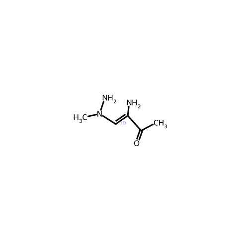 CC(=O)/C(N)=C/N(C)N